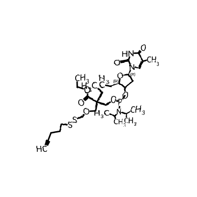 C#CCCCSSCOCC(CC)(COP(OC1C[C@H](n2cc(C)c(=O)[nH]c2=O)O[C@@H]1CC)N(C(C)C)C(C)C)C(=O)OCC